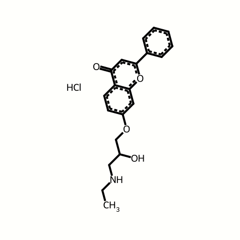 CCNCC(O)COc1ccc2c(=O)cc(-c3ccccc3)oc2c1.Cl